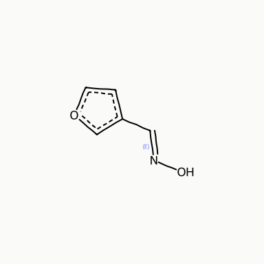 O/N=C/c1ccoc1